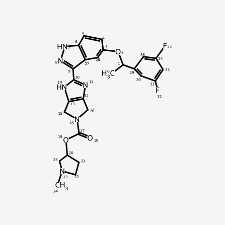 CC(Oc1ccc2[nH]nc(-c3nc4c([nH]3)CN(C(=O)OC3CCN(C)C3)C4)c2c1)c1cc(F)cc(F)c1